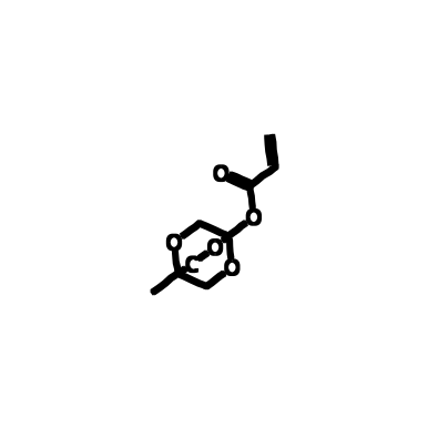 C=CC(=O)OC12COC(C)(CO1)CO2